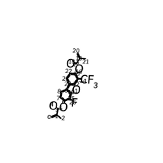 C=C(C)C(=O)Oc1ccc2c(oc3c(C(F)(F)F)c(OC(=O)C(=C)C)ccc32)c1F